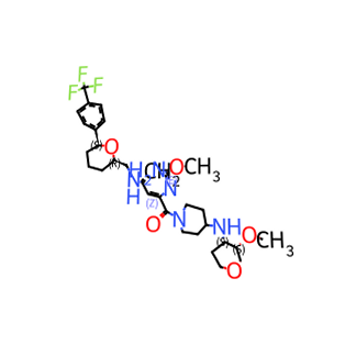 C=C(/C=C(\N=C(/N)OC)C(=O)N1CCC(N[C@H]2CCOC[C@H]2OC)CC1)NC[C@H]1CCC[C@@H](c2ccc(C(F)(F)F)cc2)O1